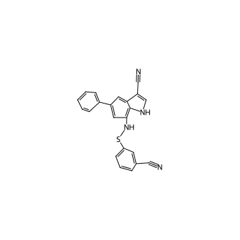 N#Cc1cccc(SNc2cc(-c3ccccc3)cc3c(C#N)c[nH]c23)c1